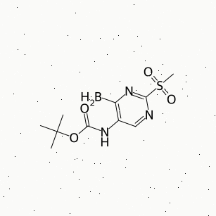 Bc1nc(S(C)(=O)=O)ncc1NC(=O)OC(C)(C)C